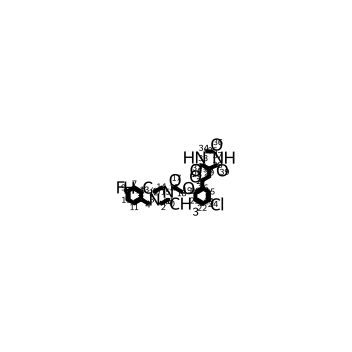 C[C@@H]1CN(Cc2ccc(F)cc2)[C@@H](C)CN1C(=O)COc1ccc(Cl)cc1C(=O)CC1C(=O)NCC(=O)NC1=O